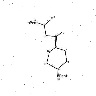 CCCC[CH]C(F)CC(C)[C@H]1CC[C@H](CCCCC)CC1